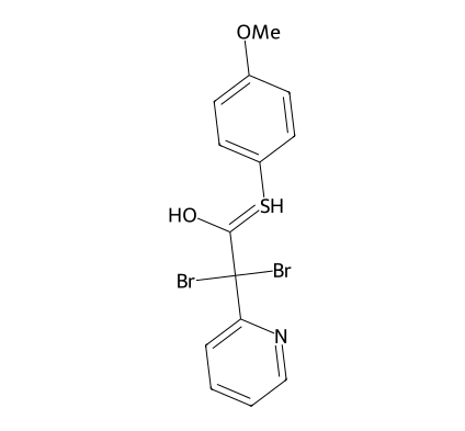 COc1ccc([SH]=C(O)C(Br)(Br)c2ccccn2)cc1